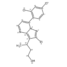 CCc1nn2c(-c3ccc(Cl)cc3Cl)ccnc2c1C(C)CCO